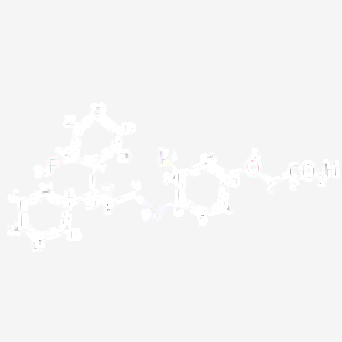 O=C(O)COc1ccc(SC/C=C(/c2ccccc2)c2ccccc2F)c(I)c1